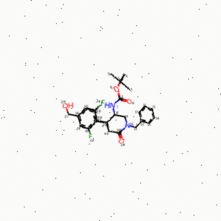 CC(C)(C)OC(=O)N[C@H]1CN(Cc2ccccc2)C(=O)CC1c1c(F)cc(CO)cc1F